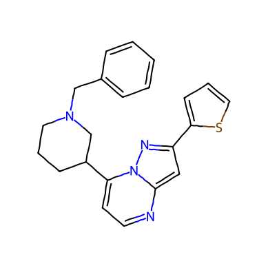 c1ccc(CN2CCCC(c3ccnc4cc(-c5cccs5)nn34)C2)cc1